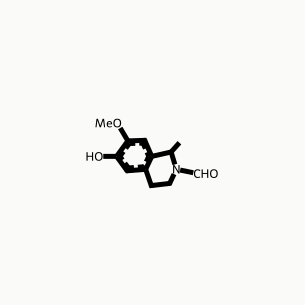 COc1cc2c(cc1O)CCN(C=O)C2C